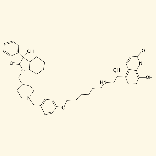 O=C(OCC1CCN(Cc2ccc(OCCCCCCNC[C@H](O)c3ccc(O)c4[nH]c(=O)ccc34)cc2)CC1)C(O)(c1ccccc1)C1CCCCC1